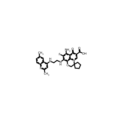 Cc1ccc2nc(C)cc(NCCNc3c(F)c(N)c4c(=O)c(C(=O)O)cn5c4c3OCC53CCCC3)c2c1